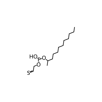 CCCCCCCCCCC(C)OP(O)OCC=S